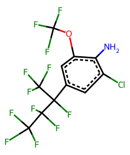 Nc1c(Cl)cc(C(F)(C(F)(F)F)C(F)(F)C(F)(F)F)cc1OC(F)(F)F